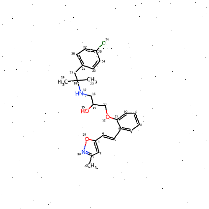 Cc1cc(C=Cc2ccccc2OCC(O)CNC(C)(C)Cc2ccc(Cl)cc2)on1